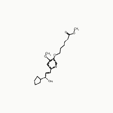 COC(=O)CCCCCOc1cnc(C=CC(O)C2CCCC2)cc1OC